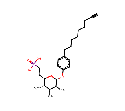 C#CCCCCCCCc1ccc(O[C@H]2O[C@H](CCP(=O)(O)O)[C@@H](OC(C)=O)[C@H](OC(C)=O)[C@@H]2OC(C)=O)cc1